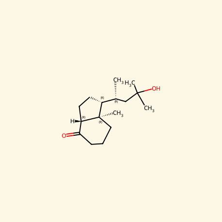 C[C@H](CC(C)(C)O)[C@H]1CC[C@H]2C(=O)CCC[C@]12C